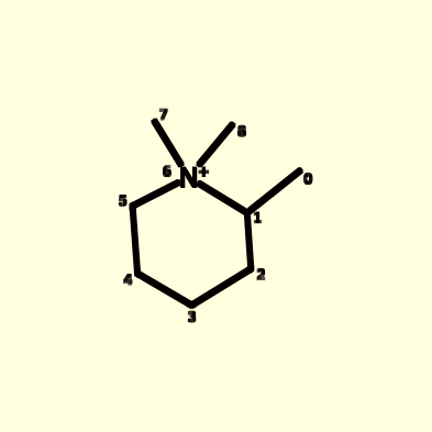 CC1CCCC[N+]1(C)C